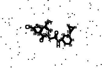 CC(C)c1nn(CC(=O)N[C@@H]2CCCN(C3CC3)C2)c(=O)c2cc(Cl)sc12